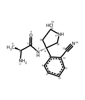 C[C@H](N)C(=O)N[C@]1(c2ccccc2C#N)CCNC1.Cl